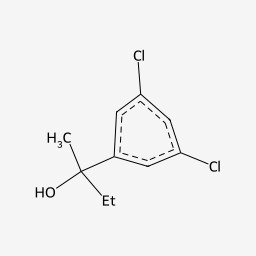 CCC(C)(O)c1cc(Cl)cc(Cl)c1